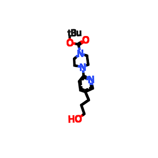 CC(C)(C)OC(=O)N1CCN(c2ccc(CCCO)cn2)CC1